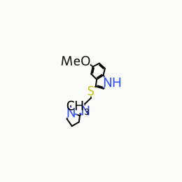 COc1ccc2[nH]cc(SCCN=C3CCCN3C)c2c1